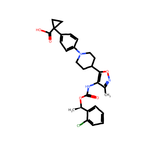 Cc1noc(C2CCN(c3ccc(C4(C(=O)O)CC4)cc3)CC2)c1NC(=O)O[C@H](C)c1ccccc1Cl